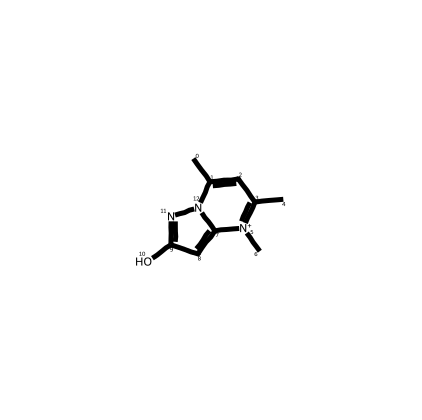 Cc1cc(C)[n+](C)c2cc(O)nn12